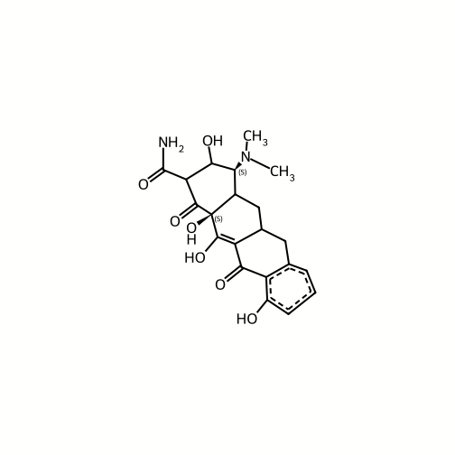 CN(C)[C@@H]1C(O)C(C(N)=O)C(=O)[C@@]2(O)C(O)=C3C(=O)c4c(O)cccc4CC3CC12